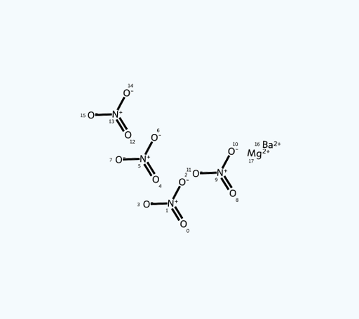 O=[N+]([O-])[O-].O=[N+]([O-])[O-].O=[N+]([O-])[O-].O=[N+]([O-])[O-].[Ba+2].[Mg+2]